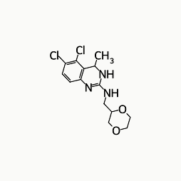 CC1NC(NCC2COCCO2)=Nc2ccc(Cl)c(Cl)c21